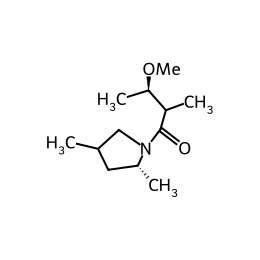 CO[C@H](C)C(C)C(=O)N1CC(C)C[C@H]1C